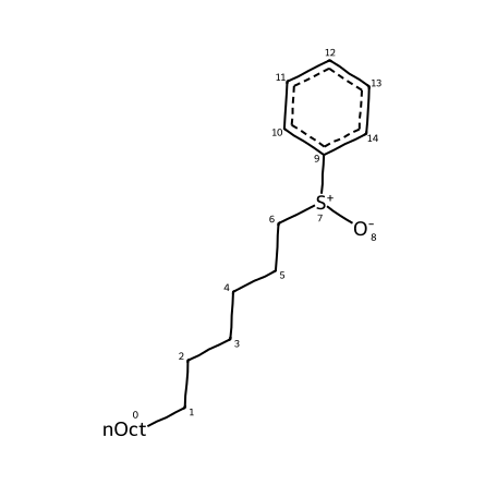 CCCCCCCCCCCCCC[S+]([O-])c1ccccc1